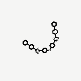 C1=C(c2ccccc2)CCC(c2nnc(-c3ccc(Oc4ccc(-c5nnc(-c6ccc(-c7ccccc7)cc6)o5)cc4)cc3)o2)=C1